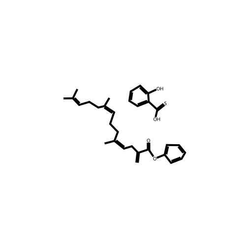 C=C(CC=C(C)CCC=C(C)CCC=C(C)C)C(=O)Oc1ccccc1.OC(=S)c1ccccc1O